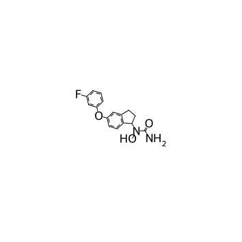 NC(=O)N(O)C1CCc2cc(Oc3cccc(F)c3)ccc21